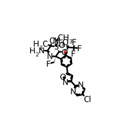 CN=[S@@]1(=O)C(OC(=O)C(F)(F)F)[C@@](CF)(c2cc(-c3cc(-c4ncc(Cl)cn4)no3)ccc2F)N=C(N)C1(C)C